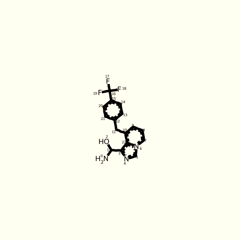 NC(O)c1ncn2cccc(Cc3ccc(C(F)(F)F)cc3)c12